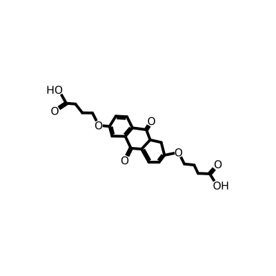 O=C(O)CCCOC1=CC=C2C(=O)c3cc(OCCCC(=O)O)ccc3C(=O)C2C1